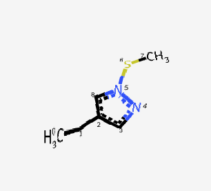 CCc1cnn(SC)c1